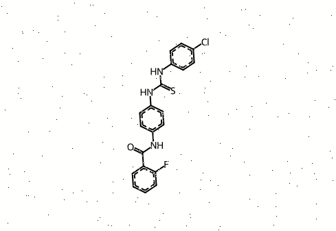 O=C(Nc1ccc(NC(=S)Nc2ccc(Cl)cc2)cc1)c1ccccc1F